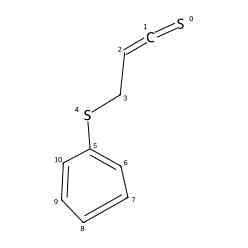 S=C=CCSc1ccccc1